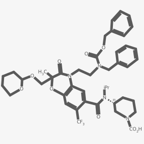 CC(C)N(C(=O)c1cc2c(cc1C(F)(F)F)OC(C)(COC1CCCCO1)C(=O)N2CCN(Cc1ccccc1)C(=O)OCc1ccccc1)[C@@H]1CCCN(C(=O)O)C1